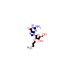 CCCCOC1C(O)[C@@H](CO)O[C@H]1n1cnc2c(=O)[nH]c(N)nc21